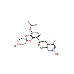 O=C(Cc1c(Cl)c[n+](O)cc1Cl)c1ccc(OC(F)F)c2c1OC1(CC[S+]([O-])CC1)O2